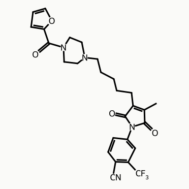 CC1=C(CCCCCN2CCN(C(=O)c3ccco3)CC2)C(=O)N(c2ccc(C#N)c(C(F)(F)F)c2)C1=O